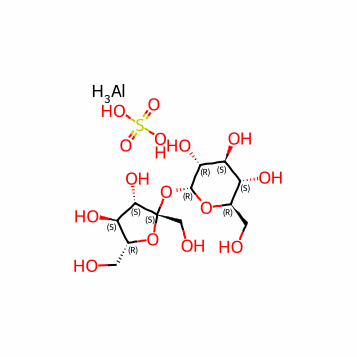 O=S(=O)(O)O.OC[C@H]1O[C@@](CO)(O[C@H]2O[C@H](CO)[C@@H](O)[C@H](O)[C@H]2O)[C@@H](O)[C@@H]1O.[AlH3]